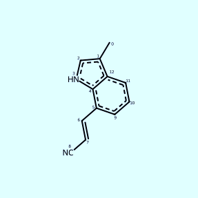 Cc1c[nH]c2c(C=CC#N)cccc12